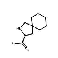 CCC(=O)[C@@H]1CC2(CCCCC2)CN1